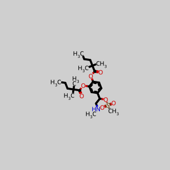 CCCC(C)(C)C(=O)Oc1ccc(C(CNC)OS(C)(=O)=O)cc1OC(=O)C(C)(C)CCC